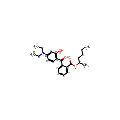 CCCCC(C)OC(=O)c1ccccc1C(=O)c1ccc(N(CC)CC)cc1O